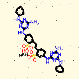 Nc1nc(Nc2ccccc2)nc(Nc2ccc(C=Cc3ccc(Nc4nc(N)nc(Nc5ccccc5)n4)cc3S(=O)(=O)O)c(S(=O)(=O)[O-])c2)n1.[H+].[KH]